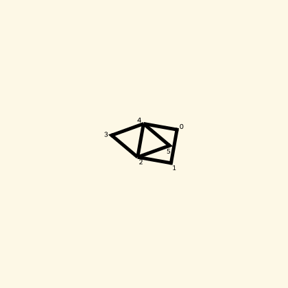 C1CC23CC12C3